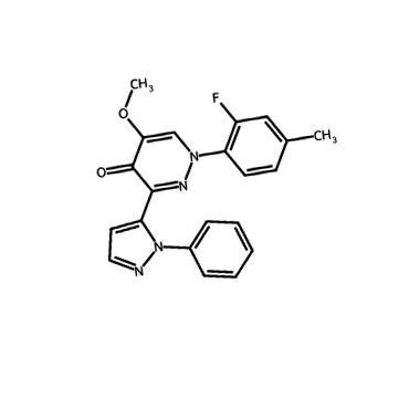 COc1cn(-c2ccc(C)cc2F)nc(-c2ccnn2-c2ccccc2)c1=O